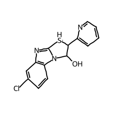 OC1C(c2ccccn2)[SH]c2nc3cc(Cl)ccc3n21